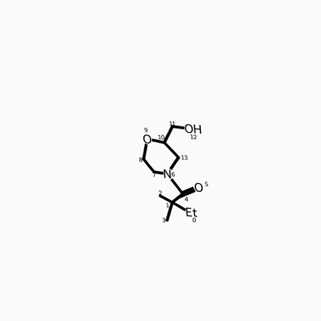 CCC(C)(C)C(=O)N1CCOC(CO)C1